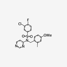 COc1ccc(CN(c2ccncn2)S(=O)(=O)c2ccc(F)c(Cl)c2)c(C)c1